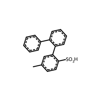 Cc1ccc(S(=O)(=O)O)c(-c2ccccc2-c2ccccc2)c1